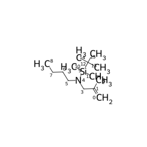 C=C(C)CN(CCCC)[Si](C)(C)C(C)(C)C